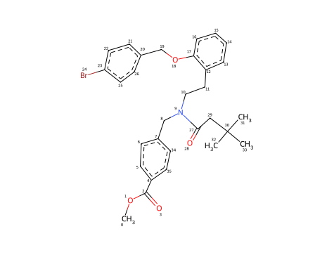 COC(=O)c1ccc(CN(CCc2ccccc2OCc2ccc(Br)cc2)C(=O)CC(C)(C)C)cc1